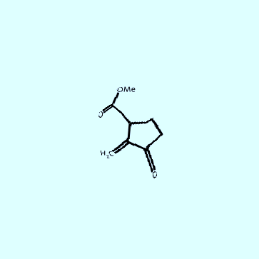 C=C1C(=O)CCC1C(=O)OC